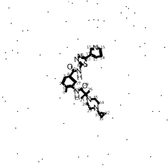 Cc1ccc(C(=O)Nc2nnc(-c3cccnc3)s2)cc1NC(=O)C(C)(C)N1CCN(C2CC2)CC1